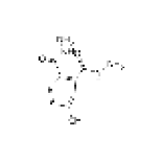 Cc1ccc(C(=O)NN)c(C(=O)NN)c1